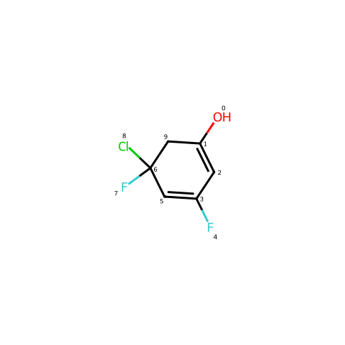 OC1=CC(F)=CC(F)(Cl)C1